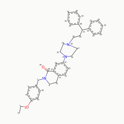 CCOc1ccc(CN2CCc3ccc(N4CCN(CCC(c5ccccc5)c5ccccc5)CC4)cc3C2=O)cc1